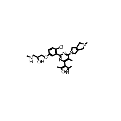 CNCC(O)COc1ccc(Cl)c(-c2nc(-c3c(C)noc3C)c(C)c(N3CC4=C(CN(C)C4)C3)n2)c1